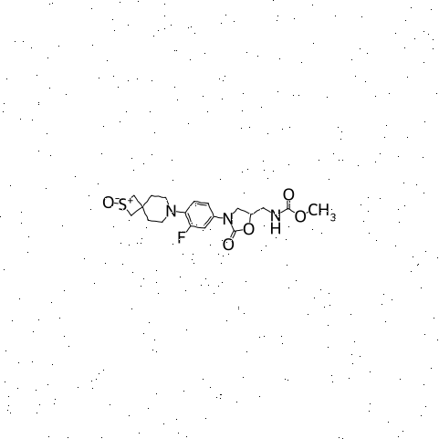 COC(=O)NCC1CN(c2ccc(N3CCC4(CC3)C[S+]([O-])C4)c(F)c2)C(=O)O1